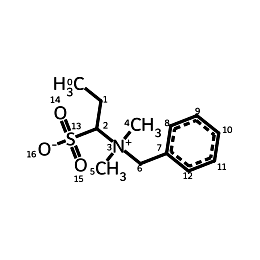 CCC([N+](C)(C)Cc1ccccc1)S(=O)(=O)[O-]